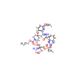 CCOC(=O)N1CCC2(CC1)C[C@H](NC(=O)c1cccc3cn(O[P@@](C)(=O)OCC(N)(CO)CO)nc13)c1nc(OC)ccc1O2